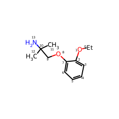 CCOc1c[c]ccc1OCC(C)(C)N